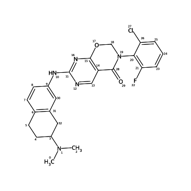 CN(C)C1CCc2ccc(Nc3ncc4c(n3)OCN(c3c(F)cccc3Cl)C4=O)cc2C1